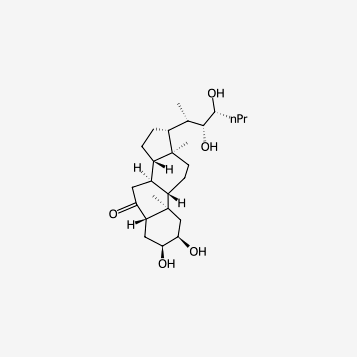 CCC[C@@H](O)[C@H](O)[C@@H](C)[C@H]1CC[C@H]2[C@@H]3CC(=O)[C@H]4C[C@H](O)[C@H](O)C[C@]4(C)[C@H]3CC[C@]12C